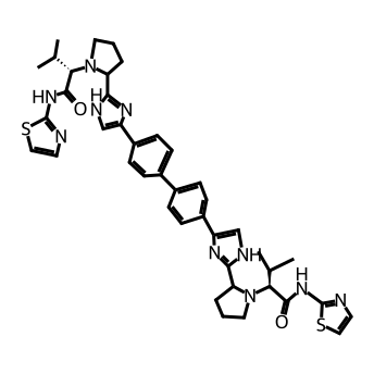 CC(C)[C@@H](C(=O)Nc1nccs1)N1CCCC1c1nc(-c2ccc(-c3ccc(-c4c[nH]c(C5CCCN5[C@H](C(=O)Nc5nccs5)C(C)C)n4)cc3)cc2)c[nH]1